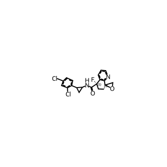 O=C(NC1CC1c1ccc(Cl)cc1Cl)[C@]1(F)CC[C@@]2(CO2)c2ncccc21